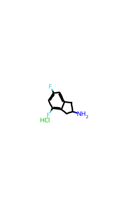 Cl.NC1Cc2cc(F)cc(F)c2C1